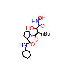 CCCCC(C(=O)N1CCCC1C(=O)NC1CCCCC1)C(O)C(=O)NO